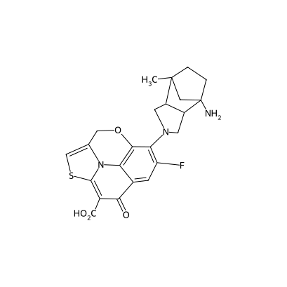 CC12CCC(N)(C1)C1CN(c3c(F)cc4c(=O)c(C(=O)O)c5scc6n5c4c3OC6)CC12